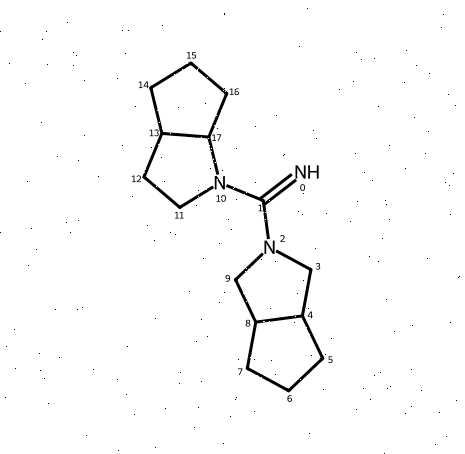 N=C(N1CC2CCCC2C1)N1CCC2CCCC21